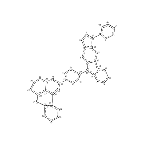 c1ccc(-n2ccc3cc4c(cc32)c2ccccc2n4-c2ccc(-c3nc4c5c(cccc5n3)Sc3ccccc3-4)cc2)cc1